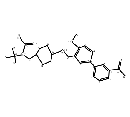 COc1ccc(-c2cccc(C(C)=O)c2)cc1CNC1CCC(CN(C(=O)O)C(C)(C)C)CC1